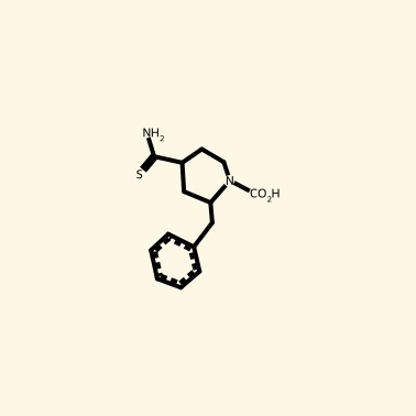 NC(=S)C1CCN(C(=O)O)C(Cc2ccccc2)C1